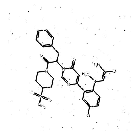 N/C(Cl)=C\N(N)c1ccc(Cl)cc1-c1cc(=O)n(C(Cc2ccccc2)C(=O)N2CCC(S(N)(=O)=O)CC2)cn1